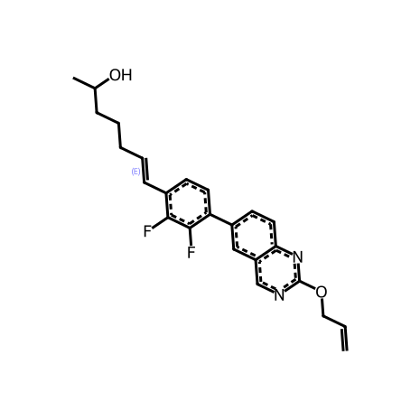 C=CCOc1ncc2cc(-c3ccc(/C=C/CCCC(C)O)c(F)c3F)ccc2n1